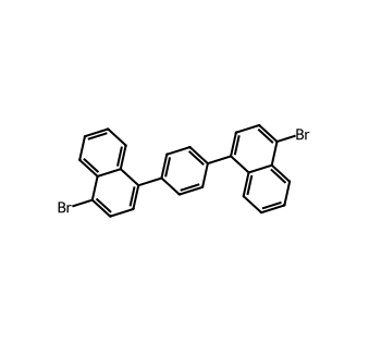 Brc1ccc(-c2ccc(-c3ccc(Br)c4ccccc34)cc2)c2ccccc12